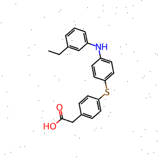 CCc1cccc(Nc2ccc(Sc3ccc(CC(=O)O)cc3)cc2)c1